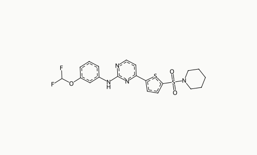 O=S(=O)(c1ccc(-c2ccnc(Nc3cccc(OC(F)F)c3)n2)s1)N1CCCCC1